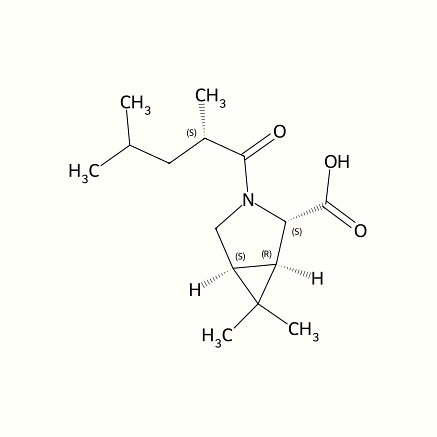 CC(C)C[C@H](C)C(=O)N1C[C@H]2[C@@H]([C@H]1C(=O)O)C2(C)C